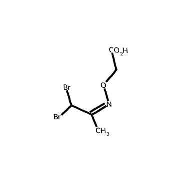 CC(=NOCC(=O)O)C(Br)Br